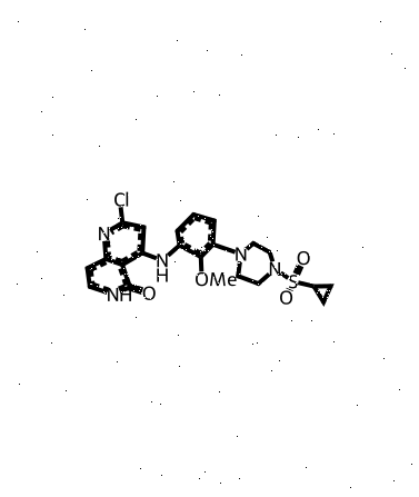 COc1c(Nc2cc(Cl)nc3cc[nH]c(=O)c23)cccc1N1CCN(S(=O)(=O)C2CC2)CC1